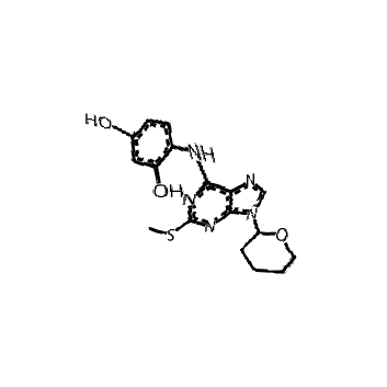 CSc1nc(Nc2ccc(O)cc2O)c2ncn(C3CCCCO3)c2n1